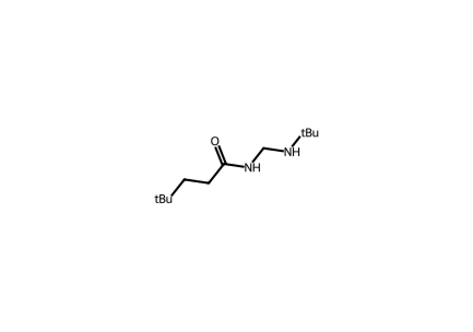 CC(C)(C)CCC(=O)NCNC(C)(C)C